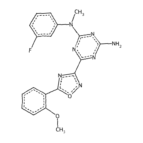 COc1ccccc1-c1nc(-c2nc(N)nc(N(C)c3cccc(F)c3)n2)no1